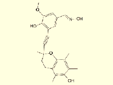 COc1cc(C=NO)cc(C#CC2(C)CCc3c(C)c(O)c(C)c(C)c3O2)c1O